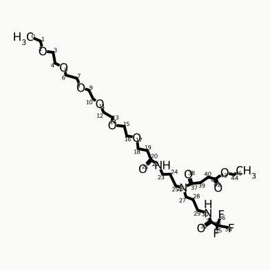 CCOCCOCCOCCOCCOCCOCCC(=O)NCCCN(CCCNC(=O)C(F)(F)F)C(=O)CCC(=O)OCC